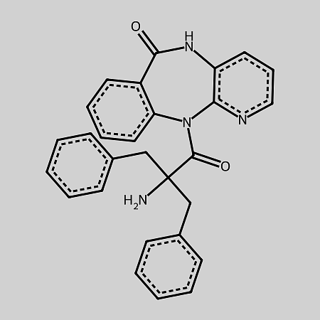 NC(Cc1ccccc1)(Cc1ccccc1)C(=O)N1c2ccccc2C(=O)Nc2cccnc21